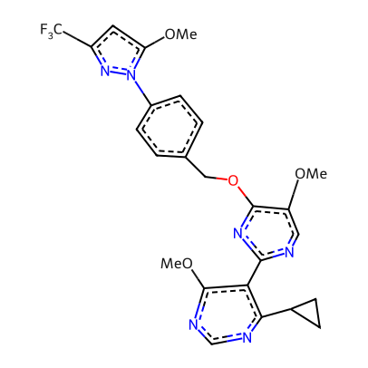 COc1cnc(-c2c(OC)ncnc2C2CC2)nc1OCc1ccc(-n2nc(C(F)(F)F)cc2OC)cc1